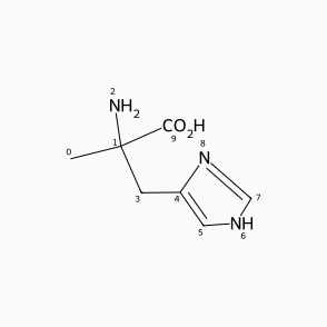 CC(N)(Cc1c[nH]cn1)C(=O)O